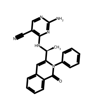 C[C@H](Nc1nc(N)ncc1C#N)c1cc2ccccc2c(=O)n1-c1ccccc1